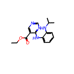 CCOC(=O)c1cncnc1Nc1ccccc1NC(C)C